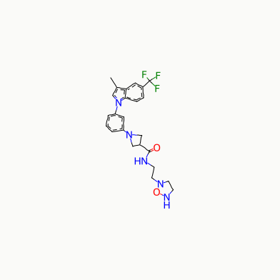 Cc1cn(-c2cccc(N3CC(C(=O)NCCN4CCNO4)C3)c2)c2ccc(C(F)(F)F)cc12